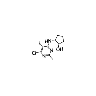 Cc1nc(Cl)c(I)c(N[C@@H]2CCC[C@H]2O)n1